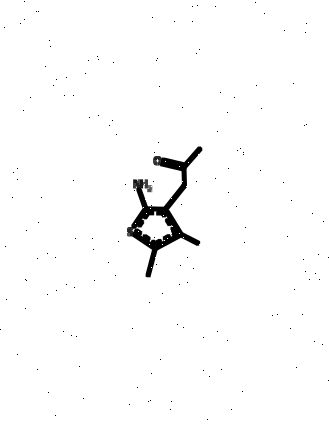 CC(=O)Cc1c(N)sc(C)c1C